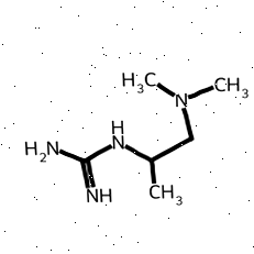 CC(CN(C)C)NC(=N)N